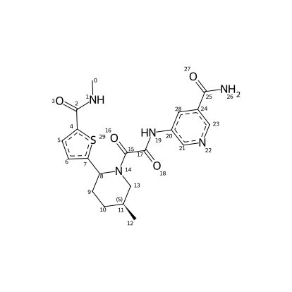 CNC(=O)c1ccc(C2CC[C@H](C)CN2C(=O)C(=O)Nc2cncc(C(N)=O)c2)s1